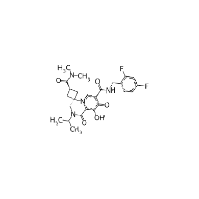 CC(C)N1C[C@]2(C[C@H](C(=O)N(C)C)C2)n2cc(C(=O)NCc3ccc(F)cc3F)c(=O)c(O)c2C1=O